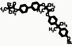 CCC(C)Oc1ccc(C(C)(C)c2ccc(OC(=O)C(C)(C)Oc3ccc(-c4ccc(OC(=O)C(C)(C)CC)cc4)cc3)cc2)cc1